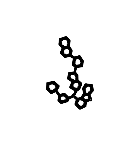 c1ccc(-c2cccc(N(c3ccc4cc(-c5cccc(-c6ccc7ccccc7c6)c5)ccc4c3)c3cccc4oc5ccccc5c34)c2)cc1